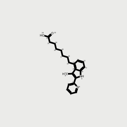 Cc1c(-c2ccccn2)[nH]c2cccc(CCCCCCCC(=O)O)c12